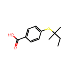 CCC(C)(C)Sc1ccc(C(=O)O)cc1